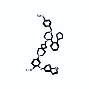 COc1ccc(CN2CCN(C3CC4(CCN(c5ccc(C=O)c(Oc6cnc7[nH]ccc7c6)c5)CC4)C3)C(c3ccccc3C3CCCC3)C2)cc1